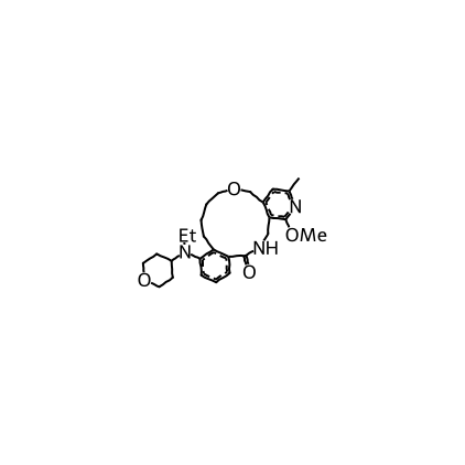 CCN(c1cccc2c1CCCCOCc1cc(C)nc(OC)c1CNC2=O)C1CCOCC1